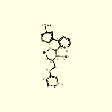 COc1cccc(-c2cccnc2C2CNCC(COc3cccnc3)N2C=O)c1